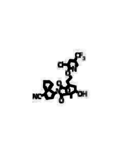 CC12OC(CCOc3ncc(C(F)(F)F)cc3Cl)(CC1O)C1C(=O)N(c3ccc(C#N)c4ccccc34)C(=O)C12